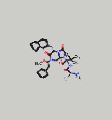 CN[C@@H](C)C(=O)N[C@@](C=O)(N1CC(=O)N2[C@@H](Cc3ccc4ccccc4c3)C(=O)N(C(Cc3ccccc3)OC)C[C@@H]21)C(C)(C)C